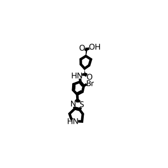 O=C(O)[C@H]1CC[C@H](C(=O)Nc2ccc(-c3nc4c(s3)CCNCC4)cc2Br)CC1